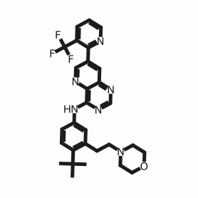 CC(C)(C)c1ccc(Nc2ncnc3cc(-c4ncccc4C(F)(F)F)cnc23)cc1CCN1CCOCC1